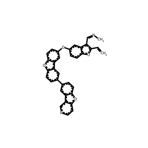 C=Cc1oc2ccc(Oc3ccc4oc5ccc(-c6ccc7oc8ccncc8c7c6)cc5c4c3)cc2c1/C=N\C